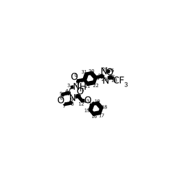 O=C(NC[C@H]1COCCN1C(=O)COc1ccccc1)c1ccc(-c2noc(C(F)(F)F)n2)cc1